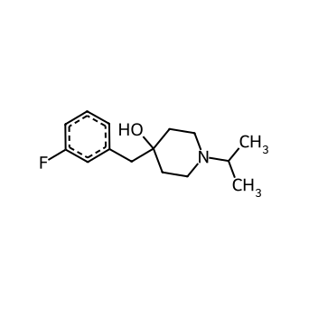 CC(C)N1CCC(O)(Cc2cccc(F)c2)CC1